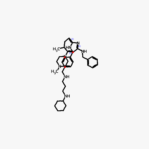 CC1C/C=C(NCc2ccc(CNCCCNC3CCCCC3)cc2)/N=C(NCc2ccccc2)\C=C/1N1CCN(C)CC1